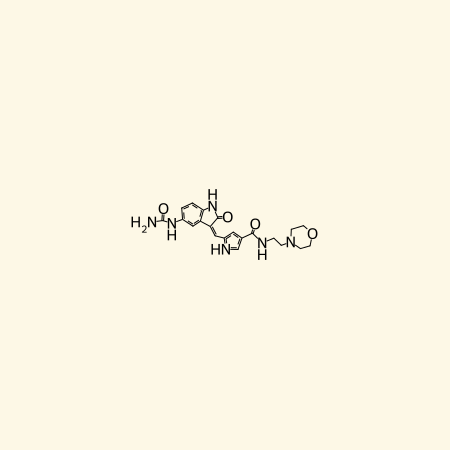 NC(=O)Nc1ccc2c(c1)/C(=C/c1cc(C(=O)NCCN3CCOCC3)c[nH]1)C(=O)N2